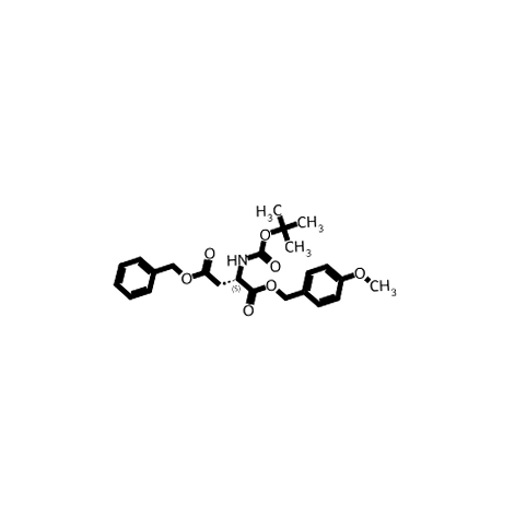 COc1ccc(COC(=O)[C@H](CC(=O)OCc2ccccc2)NC(=O)OC(C)(C)C)cc1